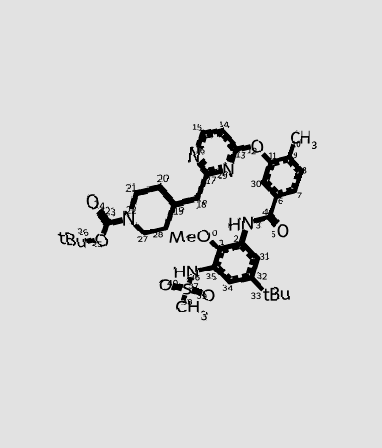 COc1c(NC(=O)c2ccc(C)c(Oc3ccnc(CC4CCN(C(=O)OC(C)(C)C)CC4)n3)c2)cc(C(C)(C)C)cc1NS(C)(=O)=O